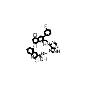 Fc1cccc(-c2cc3c(Cl)cccc3nc2CNc2ncnc3[nH]cnc23)c1.OB(O)c1cc2c(Cl)cccc2nc1Cl